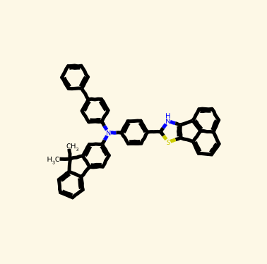 CC1(C)c2ccccc2-c2ccc(N(c3ccc(-c4ccccc4)cc3)c3ccc(C4NC5=C(S4)c4cccc6cccc5c46)cc3)cc21